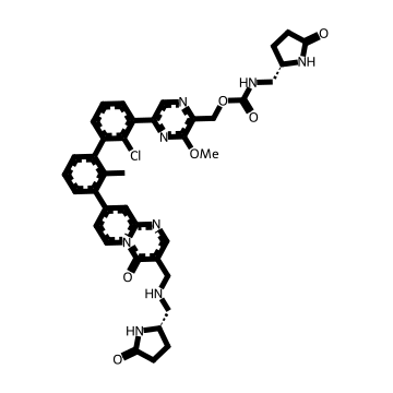 COc1nc(-c2cccc(-c3cccc(-c4ccn5c(=O)c(CNC[C@@H]6CCC(=O)N6)cnc5c4)c3C)c2Cl)cnc1COC(=O)NC[C@@H]1CCC(=O)N1